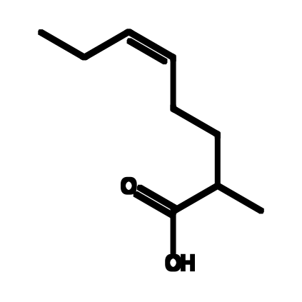 CC/C=C\CCC(C)C(=O)O